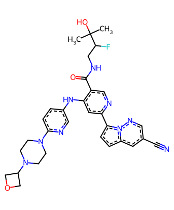 CC(C)(O)C(F)CNC(=O)c1cnc(-c2ccc3cc(C#N)cnn23)cc1Nc1ccc(N2CCN(C3COC3)CC2)nc1